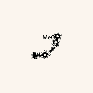 COc1ccccc1N1CCN(CCCCOc2ccc(CNc3nccs3)cc2)CC1